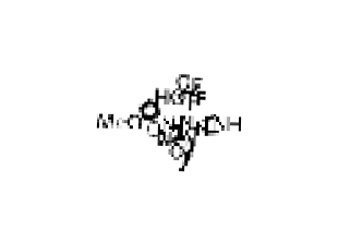 CC#CCn1c(N2CCNCC2)nc2nc(Oc3ccccc3OC)n(C)c(=O)c21.O=C(O)C(F)(F)F